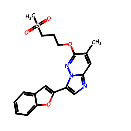 Cc1cc2ncc(-c3cc4ccccc4o3)n2nc1OCCCS(C)(=O)=O